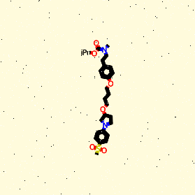 CC(C)OC(=O)N(C)CCc1ccc(OCCCCOC2CCN(c3ccc(S(C)(=O)=O)cc3)C2)cc1